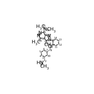 CNCc1cccc(COc2ccccc2-n2nc3c(N(C)C)nnc(C)c3c2C)c1